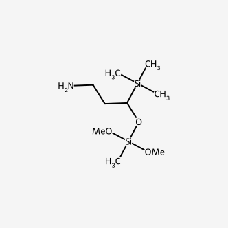 CO[Si](C)(OC)OC(CCN)[Si](C)(C)C